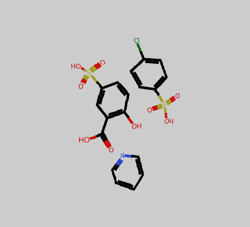 O=C(O)c1cc(S(=O)(=O)O)ccc1O.O=S(=O)(O)c1ccc(Cl)cc1.c1ccncc1